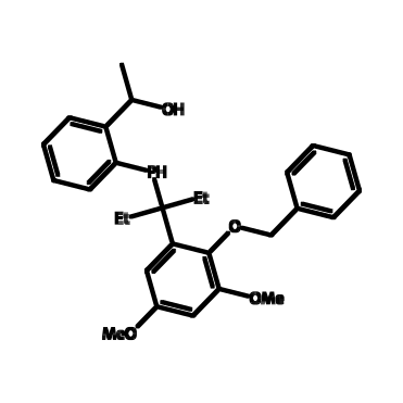 CCC(CC)(Pc1ccccc1C(C)O)c1cc(OC)cc(OC)c1OCc1ccccc1